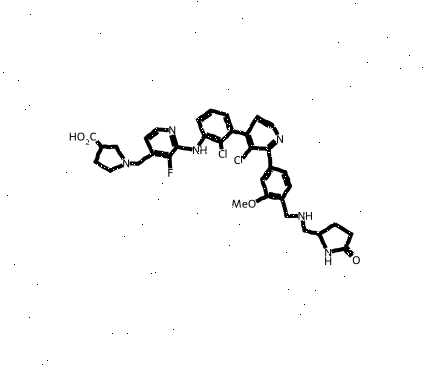 COc1cc(-c2nccc(-c3cccc(Nc4nccc(CN5CCC(C(=O)O)C5)c4F)c3Cl)c2Cl)ccc1CNCC1CCC(=O)N1